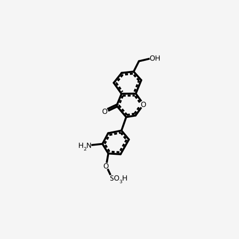 Nc1cc(-c2coc3cc(CO)ccc3c2=O)ccc1OS(=O)(=O)O